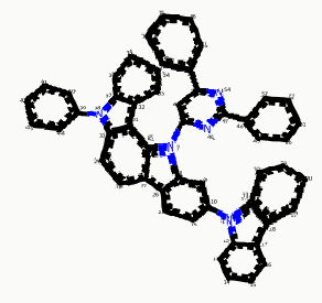 c1ccc(-c2cc(-n3c4cc(-n5c6ccccc6c6ccccc65)ccc4c4ccc5c(c6ccccc6n5-c5ccccc5)c43)nc(-c3ccccc3)n2)cc1